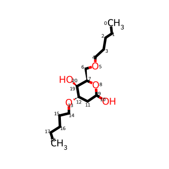 CCCCCOC[C@H]1OC(O)C[C@H](OCCCCC)[C@H]1O